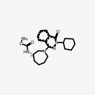 CC(C)(C)OC(=O)N[C@H]1CCCCN(c2nn(C3CCCCC3)c(=O)c3ccccc23)C1